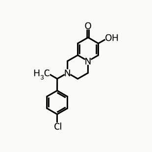 CC(c1ccc(Cl)cc1)N1CCn2cc(O)c(=O)cc2C1